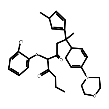 CCCC(=O)C(Sc1ccccc1Cl)C(=O)CC(C)(C1=CC(C)C=C1)C1C=CC(N2CCOCC2)=CC1